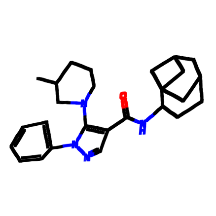 CC1CCCN(c2c(C(=O)NC3CCC4CC5CC3(C4)C5)cnn2-c2ccccc2)C1